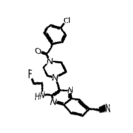 N#Cc1ccc2nc(NCCF)c(N3CCN(C(=O)c4ccc(Cl)cc4)CC3)nc2c1